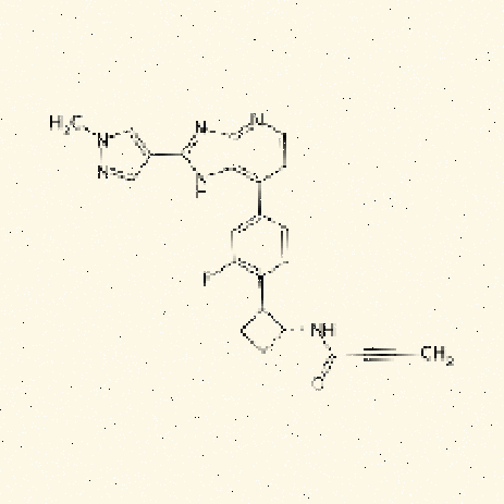 CC#CC(=O)N[C@@H]1CC[C@H]1c1ccc(-c2ccnc3nc(-c4cnn(C)c4)[nH]c23)cc1F